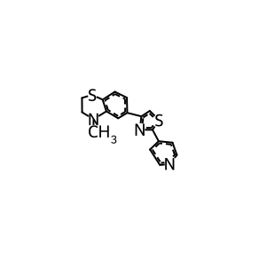 CN1CCSc2ccc(-c3csc(-c4ccncc4)n3)cc21